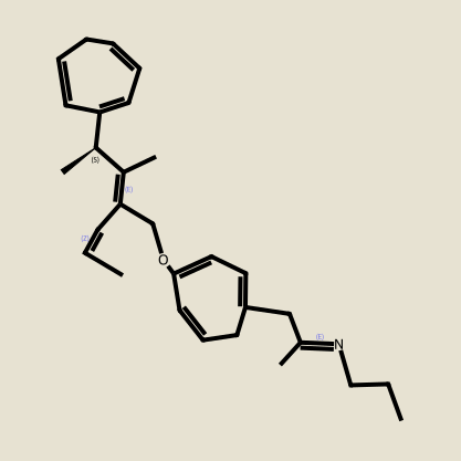 C/C=C\C(COC1=CC=C(C/C(C)=N/CCC)CC=C1)=C(\C)[C@@H](C)C1=CC=CCC=C1